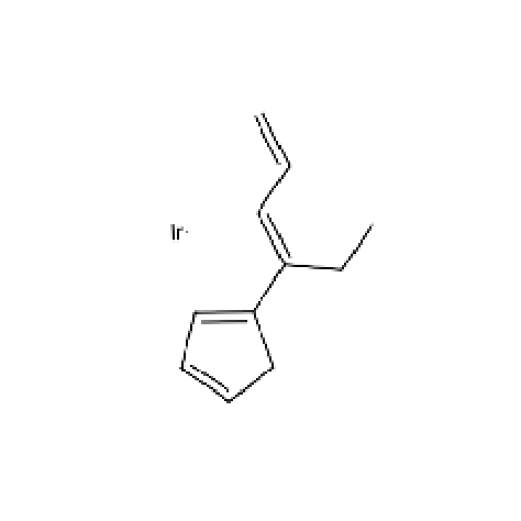 C=CC=C(CC)C1=CC=CC1.[Ir]